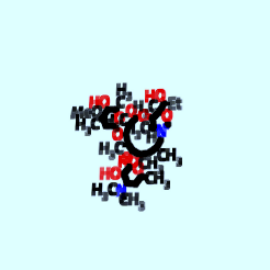 CC[C@H](O)[C@@]1(C)OCN2C[C@H](C)C[C@@](C)(O)[C@H](O[C@@H]3OC(C)C[C@@H](N(C)C)C3O)[C@@H](C)[C@H](O[C@H]3C[C@](C)(OC)[C@@H](O)C(C)O3)[C@@H](C)C(=O)OC1[C@H]2C